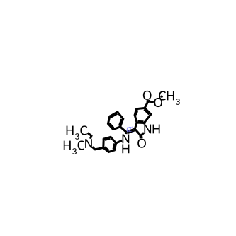 CCN(C)Cc1ccc(N/C(=C2\C(=O)Nc3cc(C(=O)OC)ccc32)c2ccccc2)cc1